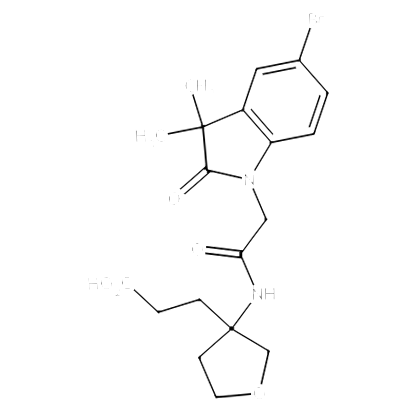 CC1(C)C(=O)N(CC(=O)NC2(CCC(=O)O)CCOC2)c2ccc(Br)cc21